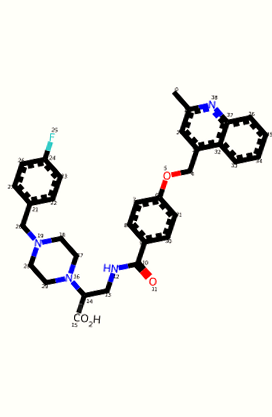 Cc1cc(COc2ccc(C(=O)NCC(C(=O)O)N3CCN(Cc4ccc(F)cc4)CC3)cc2)c2ccccc2n1